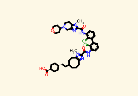 Cn1c(C(=O)Nc2cccc(-c3cccc(NC(=O)c4nc5c(n4C)CCN(C4CCOCC4)C5)c3Cl)c2Cl)nc2c1CCC(CC[C@H]1CC[C@H](C(=O)O)CC1)CCC2